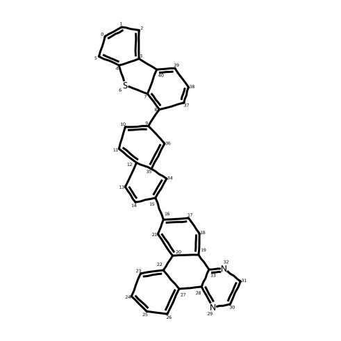 c1ccc2c(c1)sc1c(-c3ccc4ccc(-c5ccc6c(c5)c5ccccc5c5nccnc65)cc4c3)cccc12